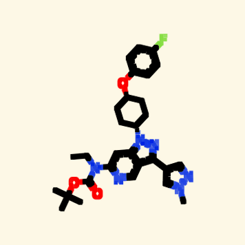 CCN(C(=O)OC(C)(C)C)c1cc2c(cn1)c(-c1cnn(C)c1)nn2[C@H]1CC[C@H](Oc2ccc(F)cc2)CC1